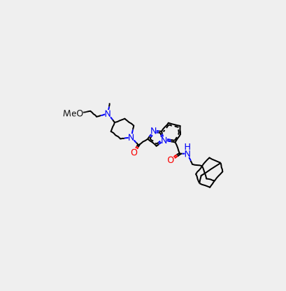 COCCN(C)C1CCN(C(=O)c2cn3c(C(=O)NCC45CC6CC(CC(C6)C4)C5)cccc3n2)CC1